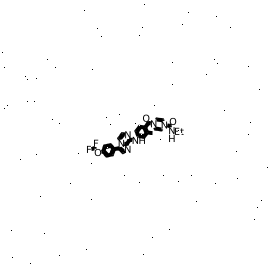 CCNC(=O)N1CCN(C(=O)c2ccc(Nc3nccn4c(-c5ccc(OC(F)F)cc5)cnc34)cc2C)CC1